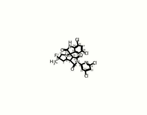 C[C@@]1(F)CC2C3C(=O)N(c4cc(Cl)cc(Cl)n4)C(=O)C3C3(C(=O)Nc4c(Cl)cc(Cl)cc43)N2C1